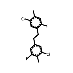 Cc1cc(F)c(CCc2cc(F)c(C)c(Cl)c2)cc1Cl